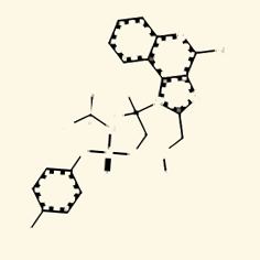 CCOCc1nc2c(N)nc3ccccc3c2n1C(C)(O)COP(=O)(N[C@@H](C)C(F)(F)F)Oc1ccc(Cl)cc1